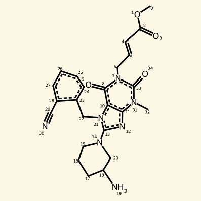 COC(=O)/C=C/Cn1c(=O)c2c(nc(N3CCCC(N)C3)n2Cc2ccccc2C#N)n(C)c1=O